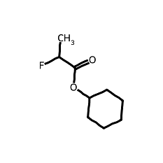 CC(F)C(=O)OC1CCCCC1